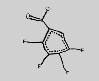 [O]C(=O)c1cc(F)c(F)c(F)c1F